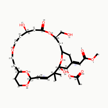 COC(=O)/C=C1\CC2C[C@H](CO)OC(=O)C[C@H](O)CCOCC[C@@H]3CCO[C@H](/C=C/C(C)(C)[C@](O)(O2)[C@H]1OC(C)=O)O3